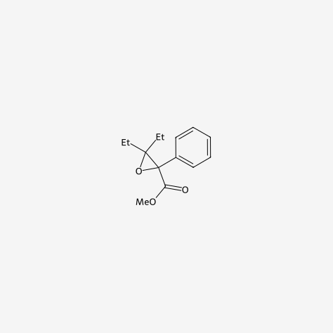 CCC1(CC)OC1(C(=O)OC)c1ccccc1